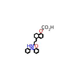 O=C(O)COc1cccc2c1CCC/C2=C\CC(=O)NN(c1ccccc1)c1ccccc1